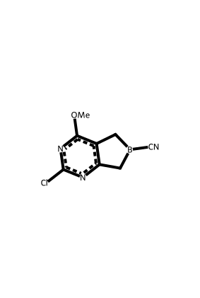 COc1nc(Cl)nc2c1CB(C#N)C2